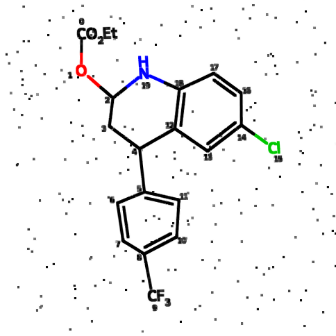 CCOC(=O)OC1CC(c2ccc(C(F)(F)F)cc2)c2cc(Cl)ccc2N1